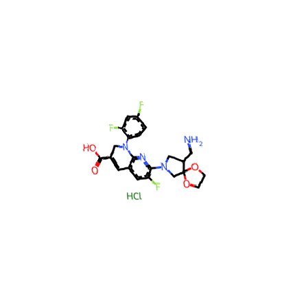 Cl.NCC1CN(c2nc3c(cc2F)C=C(C(=O)O)CN3c2ccc(F)cc2F)CC12OCCO2